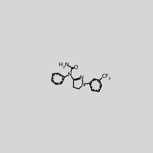 NC(=O)N(C1=NN(c2cccc(C(F)(F)F)c2)CC1)c1ccccc1